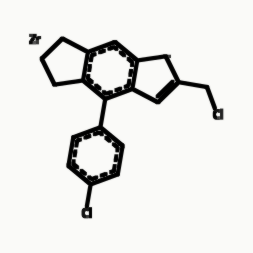 ClCC1=Cc2c(cc3c(c2-c2ccc(Cl)cc2)CCC3)[CH]1.[Zr]